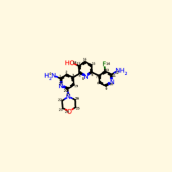 Nc1cc(-c2nc(-c3ccnc(N)c3F)ccc2O)cc(N2CCOCC2)n1